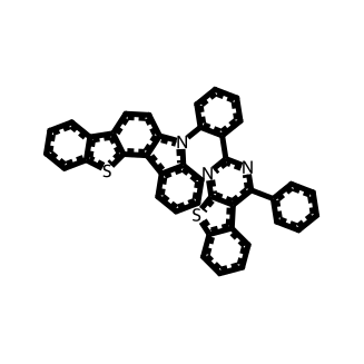 c1ccc(-c2nc(-c3ccccc3-n3c4ccccc4c4c5sc6ccccc6c5ccc43)nc3sc4ccccc4c23)cc1